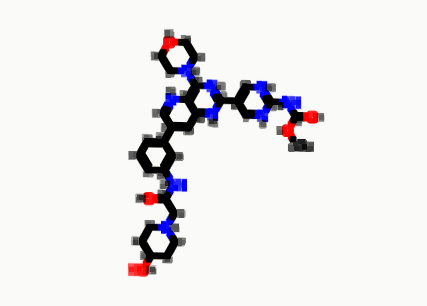 CC(C)(C)OC(=O)Nc1ncc(-c2nc(N3CCOCC3)c3ncc(-c4cccc(NC(=O)CN5CCC(O)CC5)c4)cc3n2)cn1